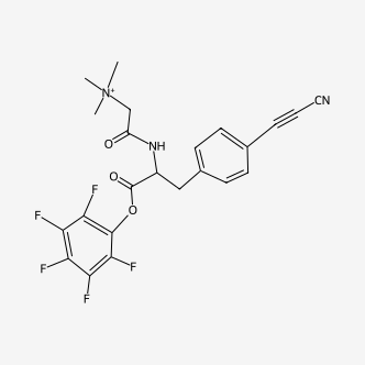 C[N+](C)(C)CC(=O)NC(Cc1ccc(C#CC#N)cc1)C(=O)Oc1c(F)c(F)c(F)c(F)c1F